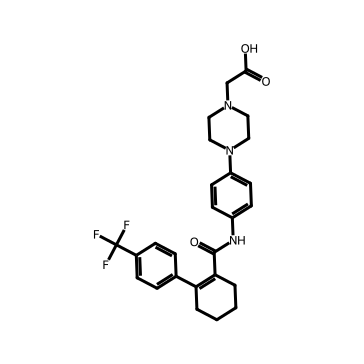 O=C(O)CN1CCN(c2ccc(NC(=O)C3=C(c4ccc(C(F)(F)F)cc4)CCCC3)cc2)CC1